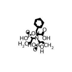 C=CC(N(C(C=C)P(=O)(O)O)[C@@H](Cc1ccccc1)C(=O)O)P(=O)(O)O